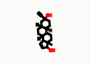 C#C[C@]1(O)CC[C@@H]2C3CC[C@@]4(C)C(C=C[C@@H]4O)[C@@H]3CC[C@@H]2C1